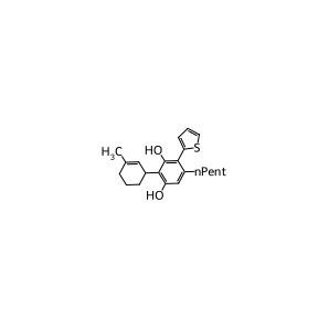 CCCCCc1cc(O)c(C2C=C(C)CCC2)c(O)c1-c1cccs1